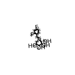 OC[C@@H]1[C@@H](O)[C@H](O)[C@@H](O)CN1CCc1ccc(F)cc1F